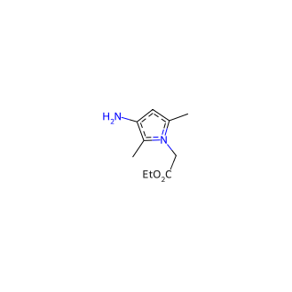 CCOC(=O)Cn1c(C)cc(N)c1C